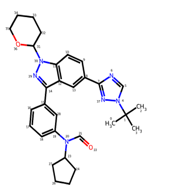 CC(C)(C)n1cnc(-c2ccc3c(c2)c(-c2cccc(N(C=O)C4CCCC4)c2)nn3C2CCCCO2)n1